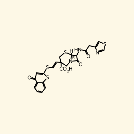 O=C(Cc1cscn1)NC1C(=O)N2CC(C=CSc3cc(=O)c4ccccc4s3)(C(=O)O)CS[C@H]12